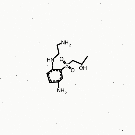 CC(O)CS(=O)(=O)c1cc(N)ccc1NCCN